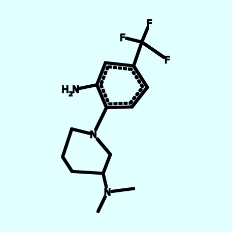 CN(C)C1CCCN(c2ccc(C(F)(F)F)cc2N)C1